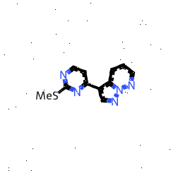 CSc1nccc(-c2cnn3ncccc23)n1